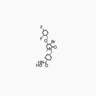 Cc1cc(OCc2ccc(F)cc2F)c(Br)c(=O)n1Cc1ccc(C(=O)NO)cc1